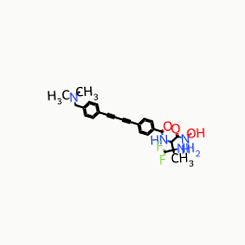 CN(C)Cc1ccc(C#CC#Cc2ccc(C(=O)NC(C(=O)NO)C(C)(N)C(F)F)cc2)cc1